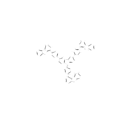 c1ccc2c(c1)oc1c(-c3ccc(-c4ccc5c(c4)c4cc(-c6ccc(-c7cccc8c7oc7ccccc78)cc6)ccc4n5-c4ccc(-c5cccc6oc7ccccc7c56)cc4)cc3)cccc12